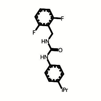 CC(C)c1ccc(NC(=O)NCc2c(F)cccc2F)cc1